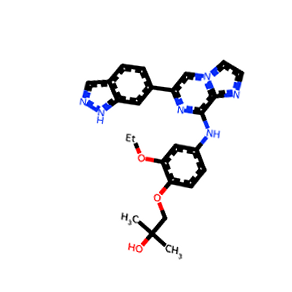 CCOc1cc(Nc2nc(-c3ccc4cn[nH]c4c3)cn3ccnc23)ccc1OCC(C)(C)O